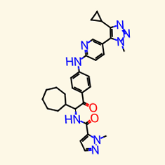 Cn1nccc1C(=O)N[C@H](C(=O)c1ccc(Nc2ccc(-c3c(C4CC4)nnn3C)cn2)cc1)C1CCCCCC1